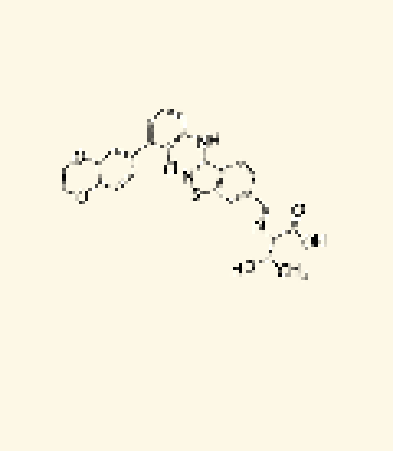 C[C@@H](O)[C@H](N=Cc1ccc2c(Nc3cccc(-c4ccc5c(c4)OCCO5)c3Cl)nsc2c1)C(=O)O